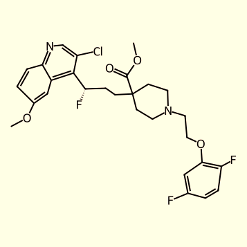 COC(=O)C1(CC[C@H](F)c2c(Cl)cnc3ccc(OC)cc23)CCN(CCOc2cc(F)ccc2F)CC1